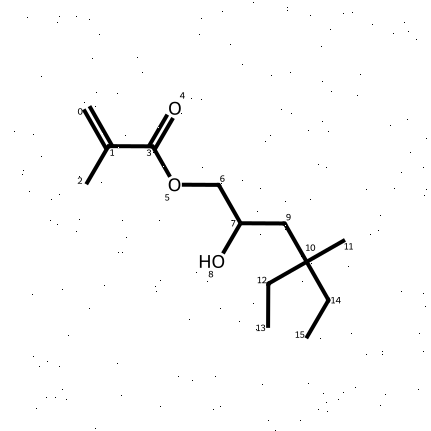 C=C(C)C(=O)OCC(O)CC(C)(CC)CC